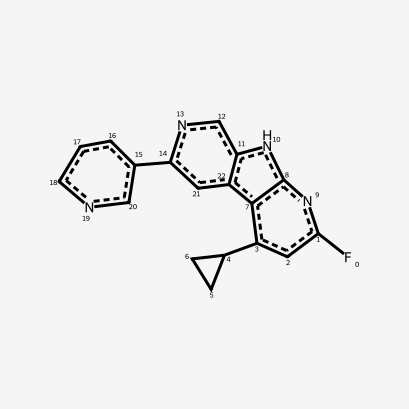 Fc1cc(C2CC2)c2c(n1)[nH]c1cnc(-c3cccnc3)cc12